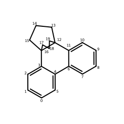 c1ccc2c(c1)-c1ccccc1C13CCCC21CCC3